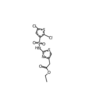 CCOC(=O)Cc1csc(NS(=O)(=O)c2cc(Cl)sc2Cl)n1